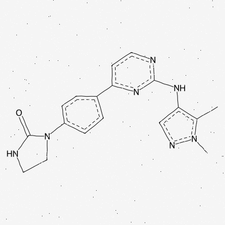 Cc1c(Nc2nccc(-c3ccc(N4CCNC4=O)cc3)n2)cnn1C